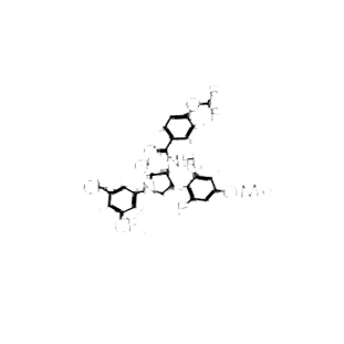 COc1cc(F)c([C@@H]2CN(c3cc(Cl)cc(C(F)(F)F)c3)C(=O)[C@H]2NC(=O)c2ccc(OC(F)F)cc2)c(F)c1